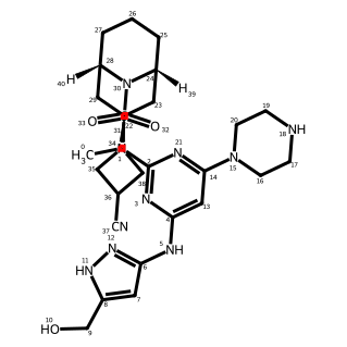 CN(c1nc(Nc2cc(CO)[nH]n2)cc(N2CCNCC2)n1)[C@@H]1C[C@H]2CCC[C@@H](C1)N2S(=O)(=O)N1CC(C#N)C1